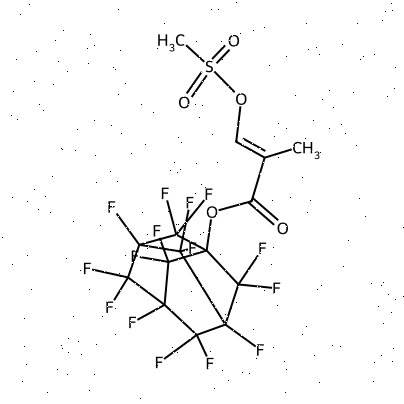 CC(=COS(C)(=O)=O)C(=O)OC12C(F)(F)C3(F)C(F)(F)C(F)(C(F)(F)C(F)(C3(F)F)C1(F)F)C2(F)F